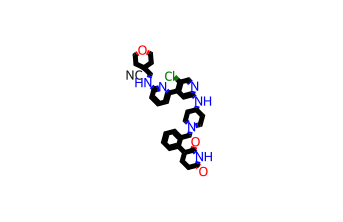 N#CC1(CNc2cccc(-c3cc(NC4CCN(Cc5ccccc5C5CCC(=O)NC5=O)CC4)ncc3Cl)n2)CCOCC1